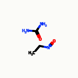 CCN=O.NC(N)=O